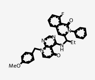 CCC(Nc1ncnc2c1c(=O)ccn2Cc1ccc(OC)cc1)c1cc2cccc(F)c2c(=O)n1-c1ccccc1